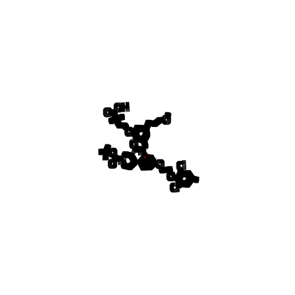 COCCCc1cc(CN(C(=O)[C@H]2CN(C(=O)OC(C)(C)C)CC[C@@H]2c2ccc(OCCOc3c(Cl)cc(C)cc3Cl)cc2)C2CC2)cc(OCCC(C)(C)C(=O)O)c1